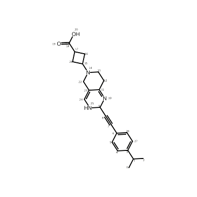 CC(C)c1ccc(C#CC2N=C3CCN(C4CC(C(=O)O)C4)CC3=CN2)cc1